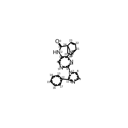 O=C1Nc2cnc(-n3ccnc3-c3ccccc3)nc2N2C3C=CC12CC3